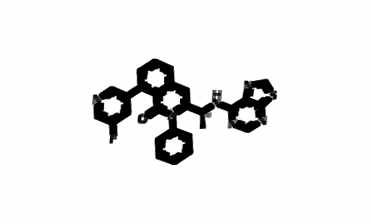 C[C@H](Nc1ncnc2scnc12)c1cc2cccc(-c3cncc(F)c3)c2c(=O)n1-c1ccccc1